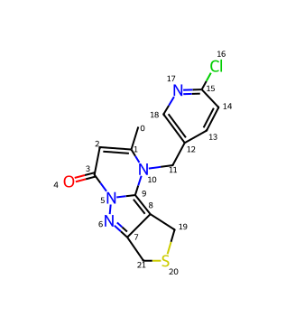 Cc1cc(=O)n2nc3c(c2n1Cc1ccc(Cl)nc1)CSC3